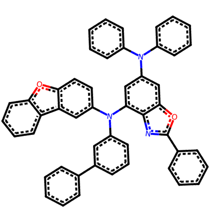 c1ccc(-c2cccc(N(c3ccc4oc5ccccc5c4c3)c3cc(N(c4ccccc4)c4ccccc4)cc4oc(-c5ccccc5)nc34)c2)cc1